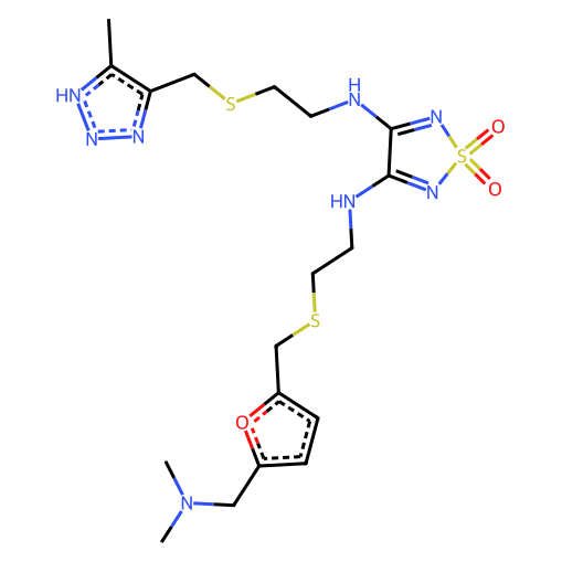 Cc1[nH]nnc1CSCCNC1=NS(=O)(=O)N=C1NCCSCc1ccc(CN(C)C)o1